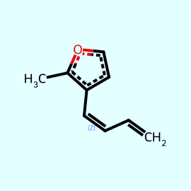 C=C/C=C\c1ccoc1C